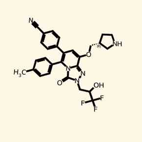 Cc1ccc(-c2c(-c3ccc(C#N)cc3)cc(OC[C@@H]3CCNC3)c3nn(CC(O)C(F)(F)F)c(=O)n23)cc1